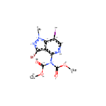 CC(C)n1nc(Br)c2c(N(C(=O)OC(C)(C)C)C(=O)OC(C)(C)C)ncc(I)c21